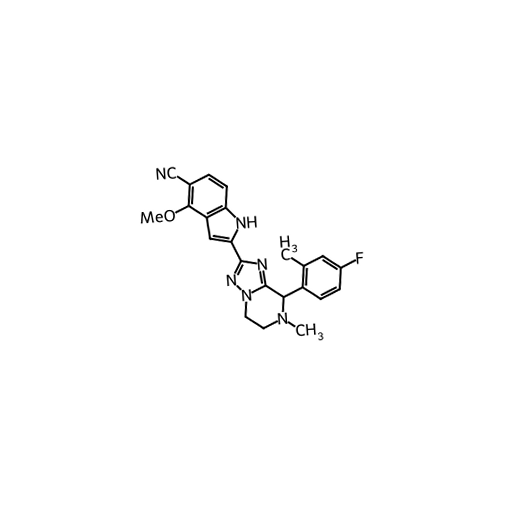 COc1c(C#N)ccc2[nH]c(-c3nc4n(n3)CCN(C)C4c3ccc(F)cc3C)cc12